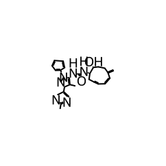 C=C1/C=C\C=C/C[C@@H](NC(=O)Nc2c(C)c(-c3cnc(C)nc3)nn2-c2ccccc2)[C@H](O)CC1